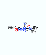 CNC(=O)c1ccc(CNc2nc3ccc(C(=O)N(CCC(C)C)CCC(C)C)cc3n2CCCN2CCCC2)cc1